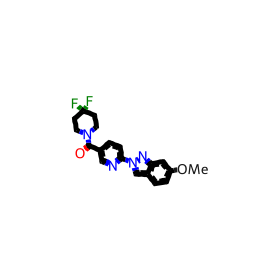 COc1ccc2cn(-c3ccc(C(=O)N4CCC(F)(F)CC4)cn3)nc2c1